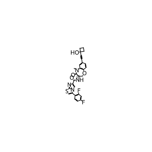 CN1C(=O)[C@@H](NC(=O)c2cn3c(-c4ccc(F)cc4F)csc3n2)COc2ccc(C#CC3(O)CCC3)cc21